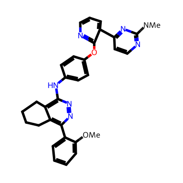 CNc1nccc(-c2cccnc2Oc2ccc(Nc3nnc(-c4ccccc4OC)c4c3CCCC4)cc2)n1